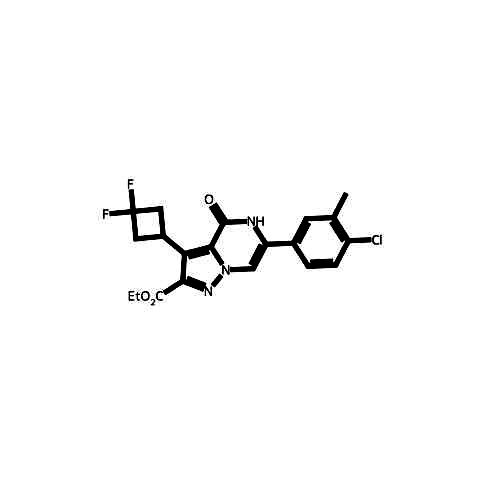 CCOC(=O)c1nn2cc(-c3ccc(Cl)c(C)c3)[nH]c(=O)c2c1C1CC(F)(F)C1